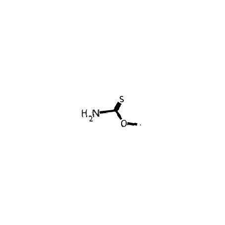 [CH2]OC(N)=S